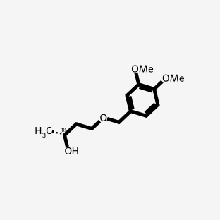 COc1ccc(COCC[C@@H](C)O)cc1OC